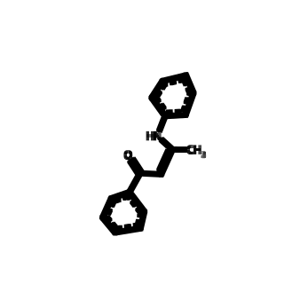 C/C(=C/C(=O)c1ccccc1)Nc1ccccc1